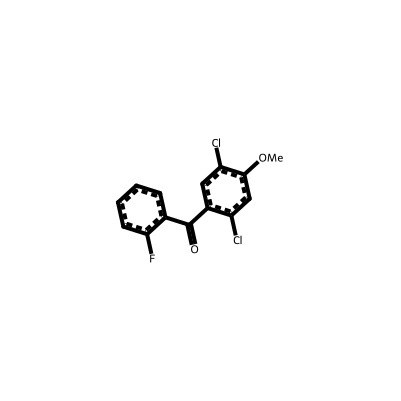 COc1cc(Cl)c(C(=O)c2ccccc2F)cc1Cl